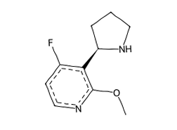 COc1nccc(F)c1[C@H]1CCCN1